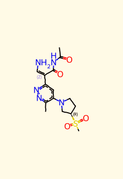 CC(=O)NC(=O)/C(=C\N)c1cc(N2CC[C@@H](S(C)(=O)=O)C2)c(C)nn1